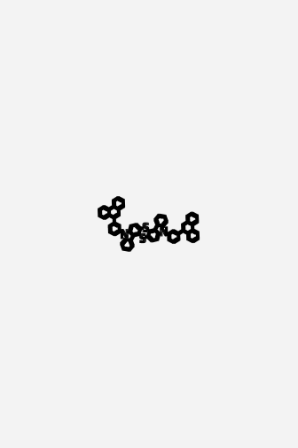 c1cc(-c2cc3ccccc3c3ccccc23)cc(-n2c3ccccc3c3c4c(ccc32)Sc2c(ccc3c2c2ccccc2n3-c2cccc(-c3cc5ccccc5c5ccccc35)c2)S4)c1